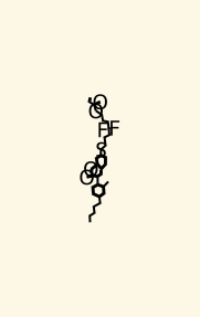 C=CC(=O)OCCCC(F)(F)CCCSc1ccc2cc(-c3ccc(CCCCC)cc3C)c(=O)oc2c1